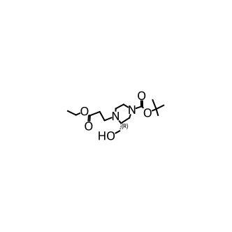 CCOC(=O)CCN1CCN(C(=O)OC(C)(C)C)C[C@@H]1CO